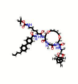 CCCCc1ccc(-c2ccc(C(=O)NC(CCCCNC(=O)OC(C)(C)C)C(=O)N[C@H]3COCCCCOC[C@@H](C(=O)N[C@@H](C)B4O[C@@H]5C[C@@H]6C[C@@H](C6(C)C)[C@]5(C)O4)NC(=O)[C@H](C)NC3=O)cc2)cc1